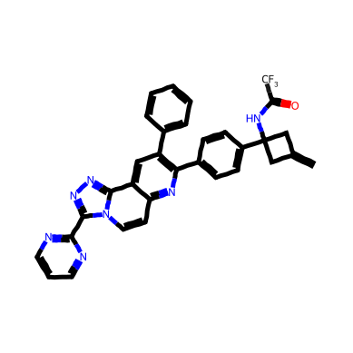 C=C1CC(NC(=O)C(F)(F)F)(c2ccc(-c3nc4ccn5c(-c6ncccn6)nnc5c4cc3-c3ccccc3)cc2)C1